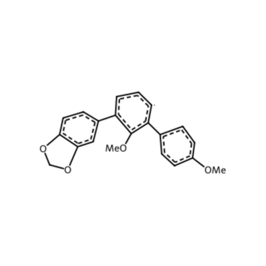 COc1ccc(-c2[c]ccc(-c3ccc4c(c3)OCO4)c2OC)cc1